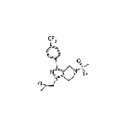 CS(=O)(=O)N1CCc2c(c(-c3ccc(C(F)(F)F)cc3)nn2CC2CO2)C1